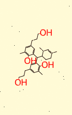 CC1=CC(C)C(C(c2cc(CCCO)cc(C)c2O)c2cc(CCCO)cc(C)c2O)CC1